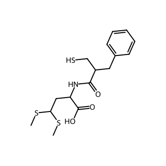 CSC(CC(NC(=O)C(CS)Cc1ccccc1)C(=O)O)SC